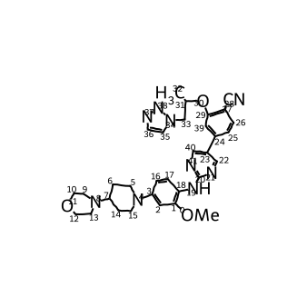 COc1cc(N2CCC(N3CCOCC3)CC2)ccc1Nc1ncc(-c2ccc(C#N)c(OC(C)Cn3ccnn3)c2)cn1